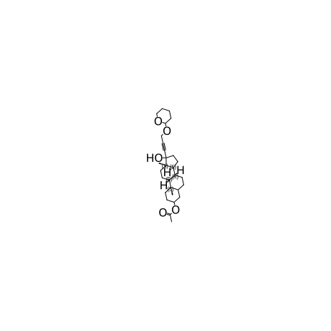 CC(=O)OC1CC[C@@]2(C)C(CC[C@@H]3[C@H]2CC[C@@]2(C)[C@H]3CCC2(O)C#CCOC2CCCCO2)C1